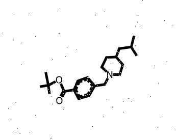 CC(C)CC1CCN(Cc2ccc(C(=O)OC(C)(C)C)cc2)CC1